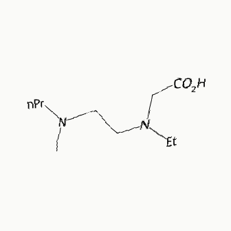 CCCN(C)CCN(CC)CC(=O)O